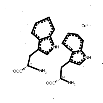 N[C@@H](Cc1c[nH]c2ccccc12)C(=O)[O-].N[C@@H](Cc1c[nH]c2ccccc12)C(=O)[O-].[Co+2]